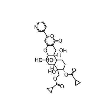 O=C(OCC1(O)[C@@H](OC(=O)C2CC2)CC[C@]2(O)[C@@H]3C(Oc4cc(-c5cccnc5)oc(=O)c4[C@@H]3O)C(O)C[C@@H]12)C1CC1